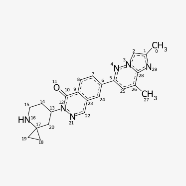 Cc1cn2nc(-c3ccc4c(=O)n(C5CCNC6(CC6)C5)ncc4c3)cc(C)c2n1